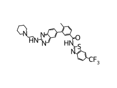 Cc1ccc(C(=O)Nc2nc3ccc(C(F)(F)F)cc3s2)cc1-c1ccc2nc(NCCN3CCCCC3)ncc2c1